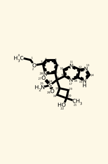 CCOc1cccc(C(c2cnc3nc[nH]c3n2)(C2CC(C)(O)C2)S(N)(=O)=O)n1